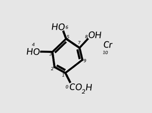 O=C(O)c1cc(O)c(O)c(O)c1.[Cr]